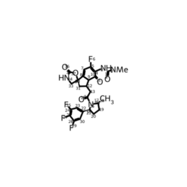 CNC(=O)NC1=C(F)C=C2C(C1=O)C(CC(=O)N1[C@@H](C)CC[C@H]1c1cc(F)c(F)c(F)c1)C[C@]21CNC(=O)O1